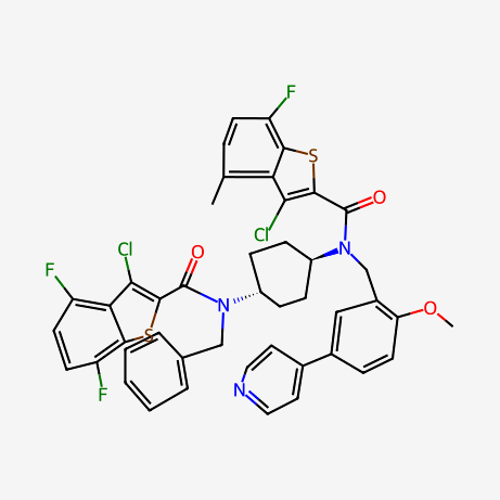 COc1ccc(-c2ccncc2)cc1CN(C(=O)c1sc2c(F)ccc(C)c2c1Cl)[C@H]1CC[C@H](N(Cc2ccccc2)C(=O)c2sc3c(F)ccc(F)c3c2Cl)CC1